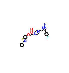 O[C@H](COc1ccc2sc(-c3ccccc3)nc2c1)CN1CCN(CCc2n[nH]cc2-c2ccc(F)cc2)CC1